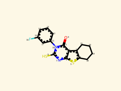 O=c1c2c3c(sc2nc(S)n1-c1cccc(F)c1)CCCC3